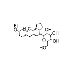 CCOc1ccc(Cc2cc([C@@H]3O[C@H](CO)[C@@H](O)[C@H](O)[C@H]3O)c3c(c2C)CCC3)cc1